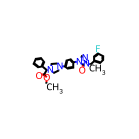 CCOC(=O)C(c1ccccc1)N1CCN(c2ccc(-n3cnn(C(C)c4cccc(F)c4)c3=O)cc2)CC1